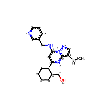 CBc1cnn2c(NCc3cccnc3)cc([C@@H]3CCCC[C@@H]3CO)nc12